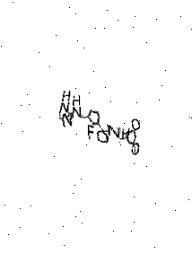 COc1cc(CNC(=O)c2cccc(CNC3=NCCN3)c2F)cc(OC)c1